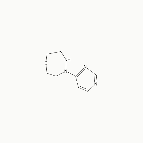 [c]1nccc(N2CCCCCN2)n1